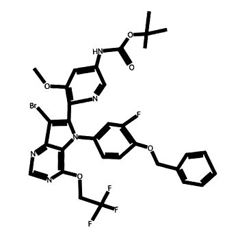 COc1cc(NC(=O)OC(C)(C)C)cnc1-c1c(Br)c2ncnc(OCC(F)(F)F)c2n1-c1ccc(OCc2ccccc2)c(F)c1